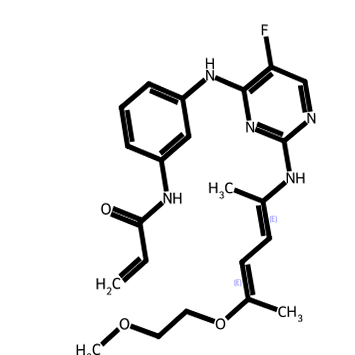 C=CC(=O)Nc1cccc(Nc2nc(N/C(C)=C/C=C(\C)OCCOC)ncc2F)c1